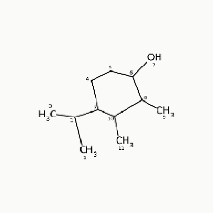 CC(C)C1CCC(O)C(C)C1C